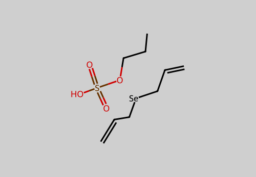 C=CC[Se]CC=C.CCCOS(=O)(=O)O